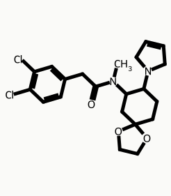 CN(C(=O)Cc1ccc(Cl)c(Cl)c1)C1CC2(CCC1N1CC=CC1)OCCO2